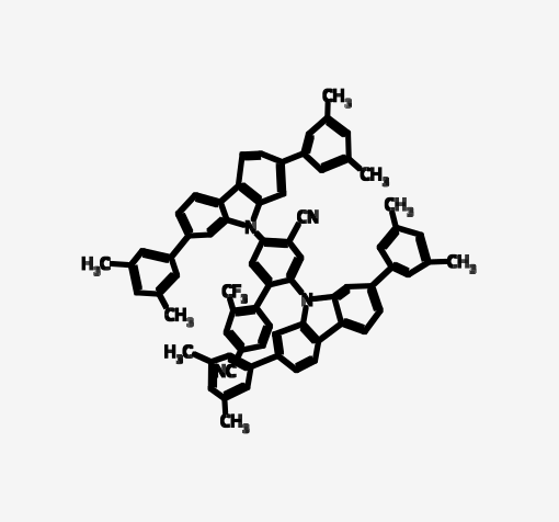 Cc1cc(C)cc(-c2ccc3c4ccc(-c5cc(C)cc(C)c5)cc4n(-c4cc(-c5ccc(C#N)cc5C(F)(F)F)c(-n5c6cc(-c7cc(C)cc(C)c7)ccc6c6ccc(-c7cc(C)cc(C)c7)cc65)cc4C#N)c3c2)c1